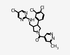 Cc1cc(C(=O)N2CC(CNc3ncc(Cl)cn3)C(c3ccc(Cl)c(Cl)c3)C2)cnn1